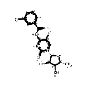 C[C@H]1O[C@@H](n2cc(F)c(NC(=O)c3cccc(Cl)c3)nc2=O)C(O)C1O